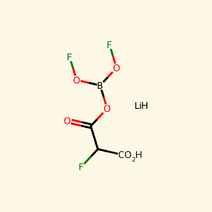 O=C(O)C(F)C(=O)OB(OF)OF.[LiH]